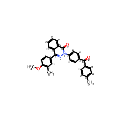 COc1ccc(-c2nn(-c3ccc(C(=O)c4ccc(C)cc4)cc3)c(=O)c3ccccc23)cc1C